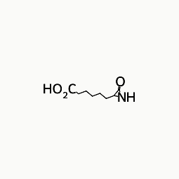 O=C(O)CCCCCC1NC1=O